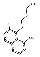 CCCCCc1c(F)ccc2cccc(C)c12